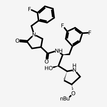 CCCCO[C@H]1CN[C@@H]([C@@H](O)[C@H](Cc2cc(F)cc(F)c2)NC(=O)C2CC(=O)N(Cc3ccccc3F)C2)C1